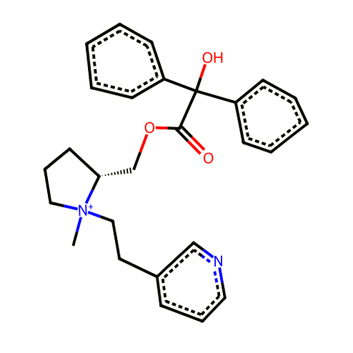 C[N+]1(CCc2cccnc2)CCC[C@@H]1COC(=O)C(O)(c1ccccc1)c1ccccc1